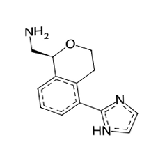 NC[C@H]1OCCc2c(-c3ncc[nH]3)cccc21